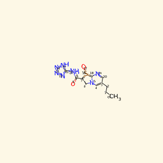 CCCC1=CN2CC(C(=O)Nc3nnn[nH]3)=S(=O)=C2N=C1